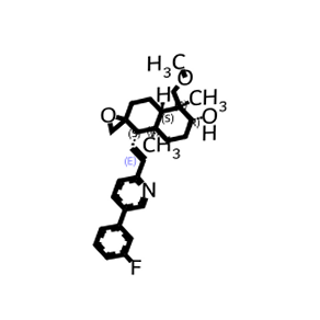 COC[C@@]1(C)[C@H]2CCC3(CO3)[C@@H](/C=C/c3ccc(-c4cccc(F)c4)cn3)[C@]2(C)CC[C@H]1O